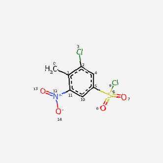 Cc1c(Cl)cc(S(=O)(=O)Cl)cc1[N+](=O)[O-]